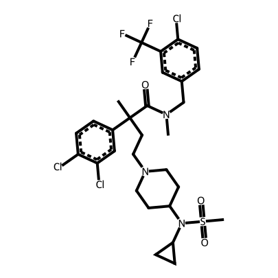 CN(Cc1ccc(Cl)c(C(F)(F)F)c1)C(=O)C(C)(CCN1CCC(N(C2CC2)S(C)(=O)=O)CC1)c1ccc(Cl)c(Cl)c1